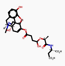 C[C@H](OC(O)CCC(=O)OC1=CC[C@@]2(O)[C@H]3Cc4ccc(O)c5c4C2(CCN3C)[C@H]1O5)C(=O)N[C@@H](CC(=O)O)C(=O)O